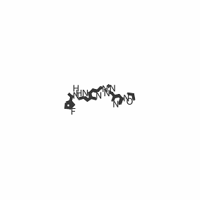 CC(NCc1cc2cnc(Cn3cnc(-c4cncc(N5CCCO5)c4)n3)cc2[nH]1)C1CC2(F)CC1C2